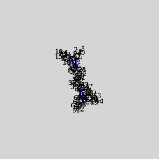 CC(C)(C)c1ccc2c(c1)c1cc(C(C)(C)C)ccc1n2-c1ccc2c(c1)C(C)(C)c1cc3c(cc1-2)C(C)(C)c1cc2c(cc1-3)C(C)(C)c1cc(C(C)(C)C)cc3c4cc(C(C)(C)C)ccc4n-2c13